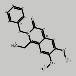 CCc1c2cc(OC)c(OC)cc2cc(=O)n1Cc1ccccc1